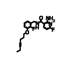 CCC#CCCCOc1cccc(CNC(=O)c2ccc(F)nc2N)c1F